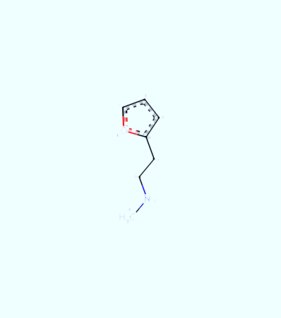 C[N]CCc1ccco1